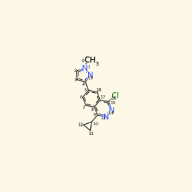 Cn1ccc(-c2ccc3c(C4CC4)nnc(Cl)c3c2)n1